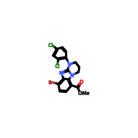 COC(=O)c1ccc(Br)c2nc3n(c12)CCCN3c1ccc(Cl)cc1Cl